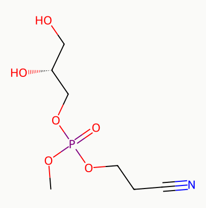 COP(=O)(OCCC#N)OC[C@H](O)CO